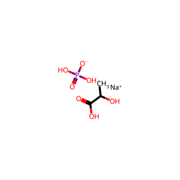 CC(O)C(=O)O.O=P([O-])(O)O.[Na+]